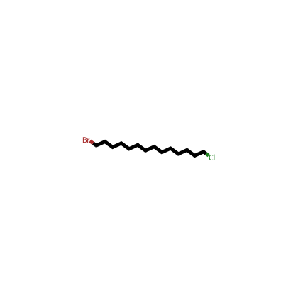 ClCCCCCCCCCCCCCCBr